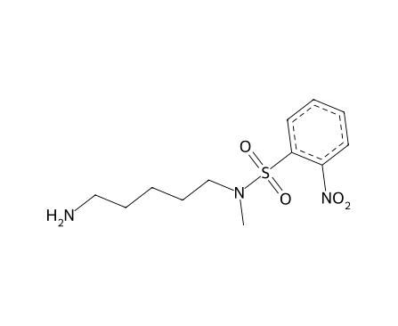 CN(CCCCCN)S(=O)(=O)c1ccccc1[N+](=O)[O-]